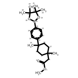 COC(=O)CC1(C)CCC(C)(c2ccc(B3OC(C)(C)C(C)(C)O3)cc2)CC1